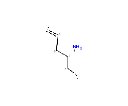 C=CCCCC.N